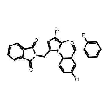 CCc1cc(CN2C(=O)c3ccccc3C2=O)n(-c2ccc(Cl)cc2C(=O)c2ccccc2F)c1C